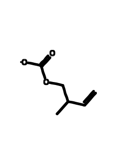 C=CC(C)COC([O])=O